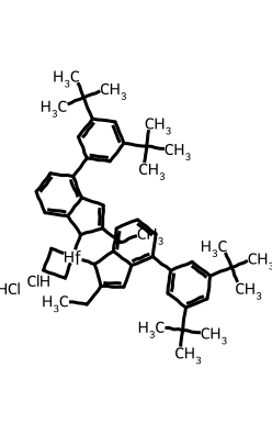 CCC1=Cc2c(-c3cc(C(C)(C)C)cc(C(C)(C)C)c3)cccc2[CH]1[Hf]1([CH]2C(CC)=Cc3c(-c4cc(C(C)(C)C)cc(C(C)(C)C)c4)cccc32)[CH2]C[CH2]1.Cl.Cl